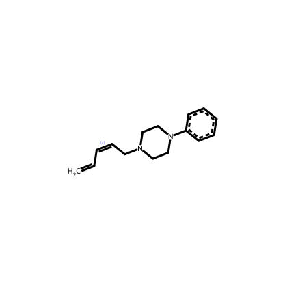 C=C/C=C\CN1CCN(c2ccccc2)CC1